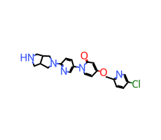 O=c1cc(OCc2ccc(Cl)cn2)ccn1-c1ccc(N2CC3CNCC3C2)nc1